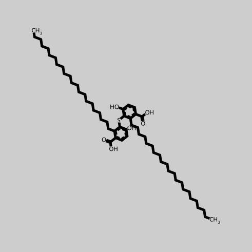 CCCCCCCCCCCCCCCCCCCCCCc1c(C(=O)O)ccc(O)c1Sc1c(O)ccc(C(=O)O)c1CCCCCCCCCCCCCCCCCCCCCC